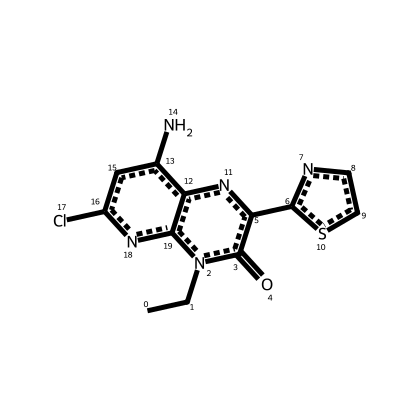 CCn1c(=O)c(-c2nccs2)nc2c(N)cc(Cl)nc21